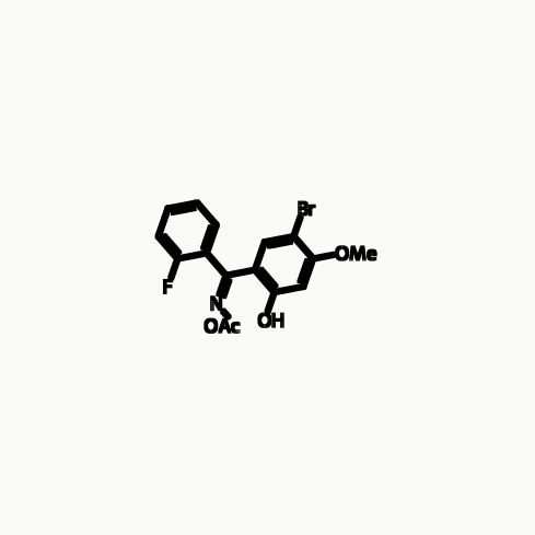 COc1cc(O)c(/C(=N\OC(C)=O)c2ccccc2F)cc1Br